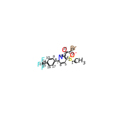 CC[S+]([O-])c1ccc(-c2ccc(C(F)(F)F)cc2)nc1C(=O)CBr